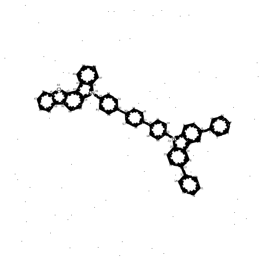 c1ccc(-c2ccc3c(c2)c2cc(-c4ccccc4)ccc2n3-c2ccc(-c3ccc(-c4ccc(-n5c6ccccc6c6c7oc8ccccc8c7ccc65)cc4)cc3)cc2)cc1